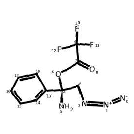 [N-]=[N+]=NC[C@@](N)(OC(=O)C(F)(F)F)c1ccccc1